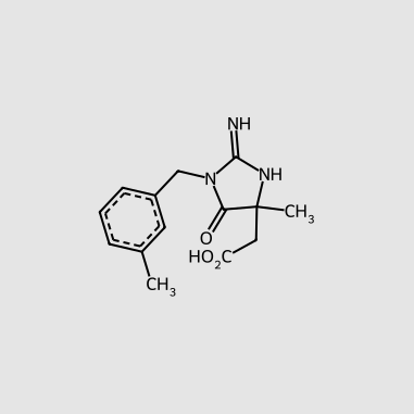 Cc1cccc(CN2C(=N)NC(C)(CC(=O)O)C2=O)c1